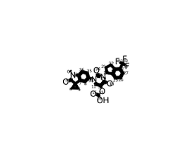 CN1C(=O)C2(CC2)c2cc(-n3cc(OC(=O)O)c(=O)n([C@@H]4CCc5c4cccc5C(F)(F)F)c3=O)ccc21